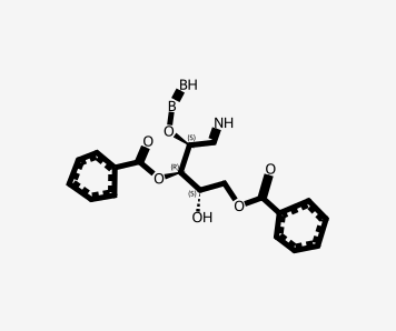 B=BO[C@@H](C=N)[C@H](OC(=O)c1ccccc1)[C@@H](O)COC(=O)c1ccccc1